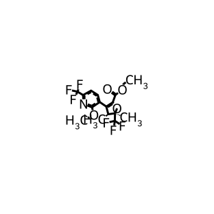 CCOC(=O)C1=C(c2ccc(C(F)(F)F)nc2OC)[C@H](C)[C@](C)(C(F)(F)F)O1